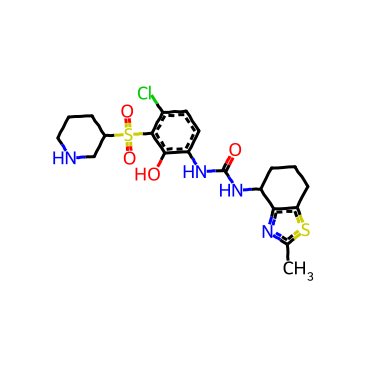 Cc1nc2c(s1)CCCC2NC(=O)Nc1ccc(Cl)c(S(=O)(=O)C2CCCNC2)c1O